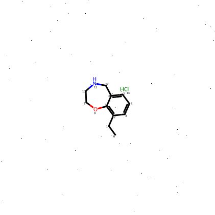 CCc1cccc2c1OCCNC2.Cl